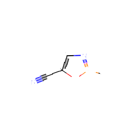 C[PH]1=NC=C(C#N)O1